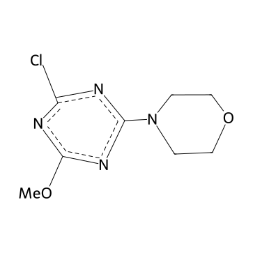 COc1nc(Cl)nc(N2CCOCC2)n1